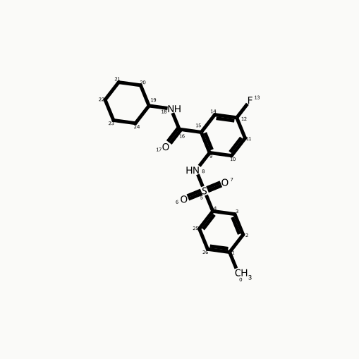 Cc1ccc(S(=O)(=O)Nc2ccc(F)cc2C(=O)NC2CCCCC2)cc1